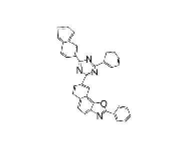 c1ccc(-c2nc(-c3ccc4ccccc4c3)nc(-c3ccc4ccc5nc(-c6ccccc6)oc5c4c3)n2)cc1